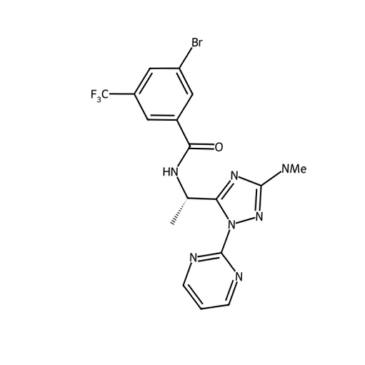 CNc1nc([C@H](C)NC(=O)c2cc(Br)cc(C(F)(F)F)c2)n(-c2ncccn2)n1